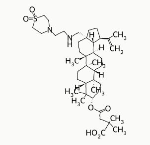 C=C(C)[C@@H]1CC[C@]2(CNCCN3CCS(=O)(=O)CC3)CC[C@]3(C)[C@H](CC[C@@H]4[C@@]5(C)CC[C@H](OC(=O)CC(C)(C)C(=O)O)C(C)(C)[C@@H]5CC[C@]43C)[C@@H]12